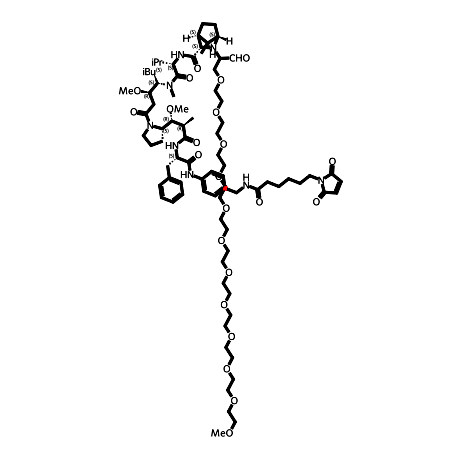 CC[C@H](C)[C@@H]([C@@H](CC(=O)N1CCC[C@H]1[C@H](OC)[C@@H](C)C(=O)N[C@@H](Cc1ccccc1)C(=O)Nc1ccc(CNC(=O)CCCCCN2C(=O)C=CC2=O)cc1)OC)N(C)C(=O)[C@@H](NC(=O)[C@@H]1[C@H]2CC[C@@H]([C@H]2C)N1C(C=O)COCCOCCOCCOCCOCCOCCOCCOCCOCCOCCOCCOC)C(C)C